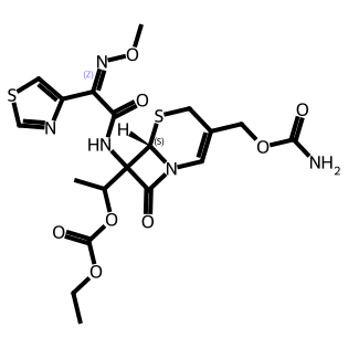 CCOC(=O)OC(C)C1(NC(=O)/C(=N\OC)c2cscn2)C(=O)N2C=C(COC(N)=O)CS[C@H]21